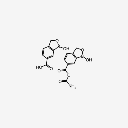 NC(=O)OC(=O)c1ccc2c(c1)B(O)OC2.O=C(O)c1ccc2c(c1)B(O)OC2